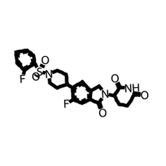 O=C1CCC(N2Cc3cc(C4CCN(S(=O)(=O)c5ccccc5F)CC4)c(F)cc3C2=O)C(=O)N1